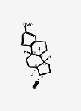 C#C[C@H]1CC[C@H]2[C@@H]3CCc4cc(OC)ccc4[C@H]3CC[C@]12C